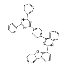 c1ccc(-c2nc(-c3ccccc3)nc(-c3ccc(-c4nc(-c5cccc6c5oc5ccccc56)nc5ccccc45)cc3)n2)cc1